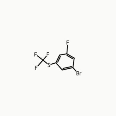 Fc1cc(Br)cc(SC(F)(F)F)c1